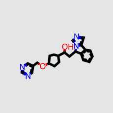 OC(CC1c2ccccc2-c2cncn21)C1CCC(OCc2cncnc2)CC1